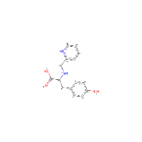 O=C(O)C(Cc1ccc(O)cc1)NCc1ccccn1